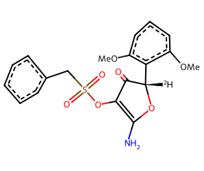 [2H][C@@]1(c2c(OC)cccc2OC)OC(N)=C(OS(=O)(=O)Cc2ccccc2)C1=O